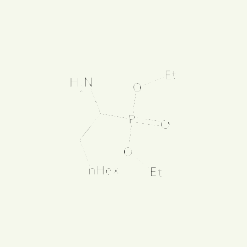 CCCCCCCC(N)P(=O)(OCC)OCC